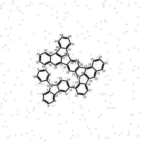 c1ccc(-n2c3ccccc3c3cc(-c4cccc5c6cc7ccccc7c7c8nc9c(cc8n(c45)c67)c4cc5ccccc5c5c6ccccc6n9c45)ccc32)cc1